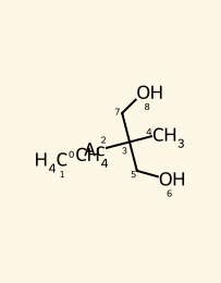 C.C.CC(=O)C(C)(CO)CO